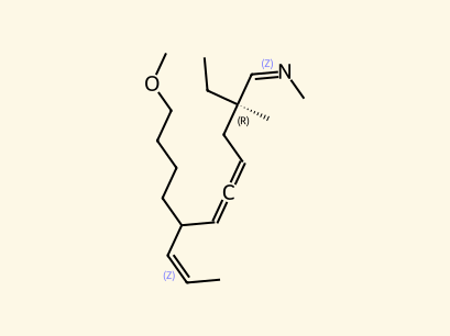 C/C=C\C(C=C=CC[C@](C)(/C=N\C)CC)CCCCOC